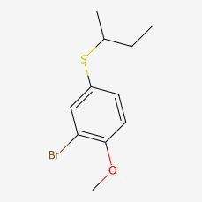 CCC(C)Sc1ccc(OC)c(Br)c1